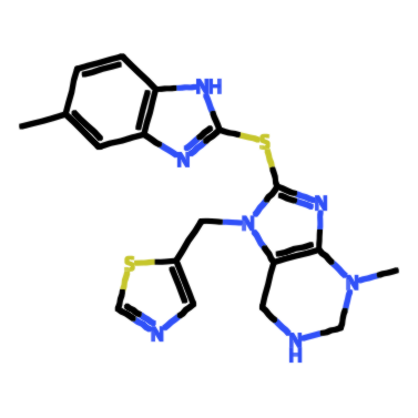 Cc1ccc2[nH]c(Sc3nc4c(n3Cc3cncs3)CNCN4C)nc2c1